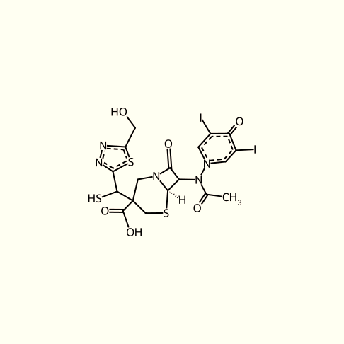 CC(=O)N(C1C(=O)N2CC(C(=O)O)(C(S)c3nnc(CO)s3)CS[C@H]12)n1cc(I)c(=O)c(I)c1